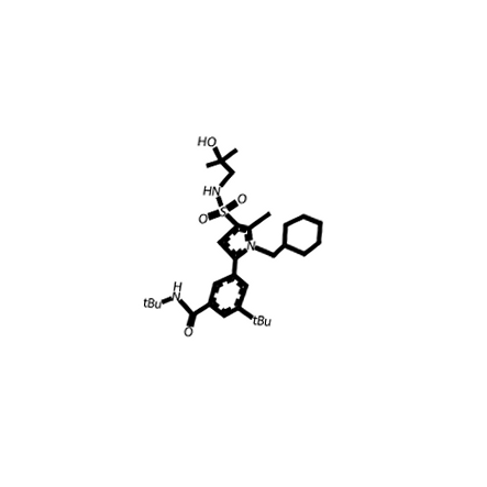 Cc1c(S(=O)(=O)NCC(C)(C)O)cc(-c2cc(C(=O)NC(C)(C)C)cc(C(C)(C)C)c2)n1CC1CCCCC1